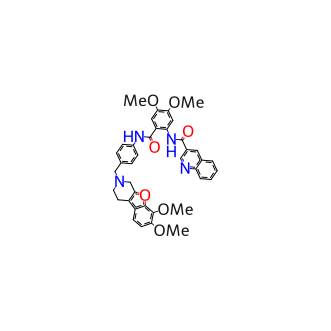 COc1cc(NC(=O)c2cnc3ccccc3c2)c(C(=O)Nc2ccc(CN3CCc4c(oc5c(OC)c(OC)ccc45)C3)cc2)cc1OC